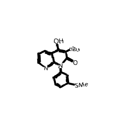 CCCCc1c(O)c2cccnc2n(-c2cccc(SC)c2)c1=O